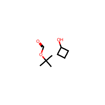 CC(C)(C)OC=O.OC1CCC1